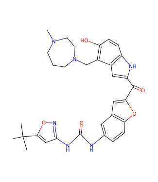 CN1CCCN(Cc2c(O)ccc3[nH]c(C(=O)c4cc5cc(NC(=O)Nc6cc(C(C)(C)C)on6)ccc5o4)cc23)CC1